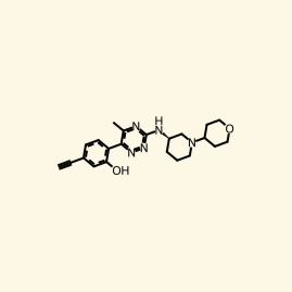 C#Cc1ccc(-c2nnc(N[C@@H]3CCCN(C4CCOCC4)C3)nc2C)c(O)c1